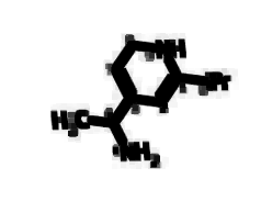 CC(C)C1=CC(C(C)N)=CCN1